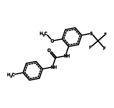 COc1ccc(SC(F)(F)F)cc1NC(=O)Nc1ccc(C)cc1